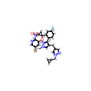 Cn1cc(Cc2cnn(CC3CC3)c2)c(-c2ccc(F)cc2C2(Oc3cc(Br)cnc3[N+](=O)[O-])CC2)n1